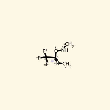 C/N=C(\ONC)C(F)(F)F